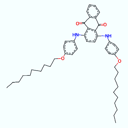 CCCCCCCCCCOc1ccc(Nc2ccc(Nc3ccc(OCCCCCCCCCC)cc3)c3c2C(=O)c2ccccc2C3=O)cc1